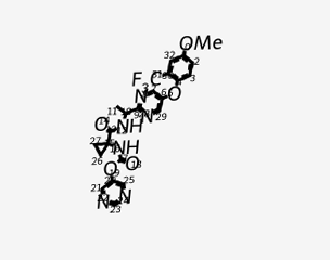 COc1ccc(Oc2cnc(C(C)NC(=O)C3(NC(=O)Oc4cncnc4)CC3)nc2)c(C(F)(F)F)c1